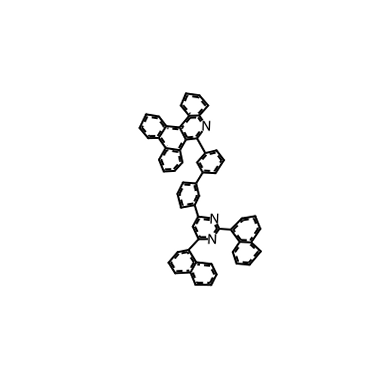 c1cc(-c2cccc(-c3nc4ccccc4c4c5ccccc5c5ccccc5c34)c2)cc(-c2cc(-c3cccc4ccccc34)nc(-c3cccc4ccccc34)n2)c1